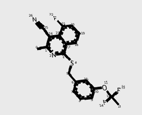 Cc1nc(SCc2cccc(OC(C)(F)F)c2)c2cccc(F)c2c1C#N